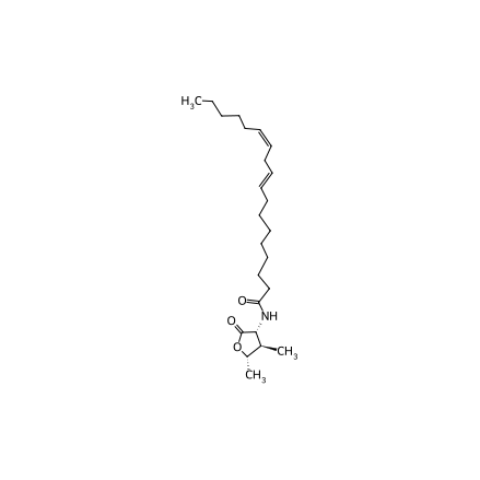 CCCCC/C=C\C/C=C/CCCCCCCC(=O)N[C@H]1C(=O)O[C@@H](C)[C@@H]1C